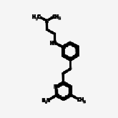 Cc1cc(N)nc(CCc2cccc(NCCN(C)C)c2)c1